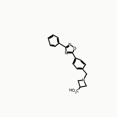 O=C(O)C1CN(Cc2ccc(-c3nc(-c4ccccc4)no3)cc2)C1